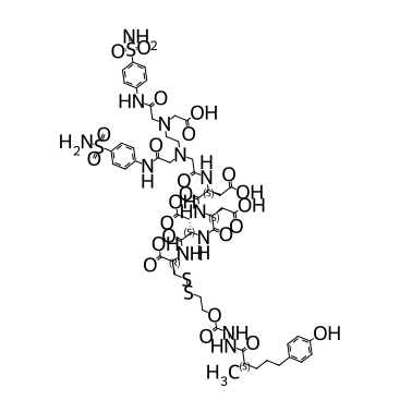 C[C@@H](CCCc1ccc(O)cc1)C(=O)NNC(=O)OCCSSC[C@H](NC(=O)[C@H](CC(=O)O)NC(=O)[C@H](CC(=O)O)NC(=O)[C@H](CC(=O)O)NC(=O)CN(CCN(CC(=O)O)CC(=O)Nc1ccc(S(N)(=O)=O)cc1)CC(=O)Nc1ccc(S(N)(=O)=O)cc1)C(=O)O